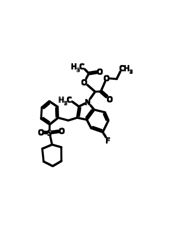 CCOC(=O)C(OC(C)=O)n1c(C)c(Cc2ccccc2S(=O)(=O)C2CCCCC2)c2cc(F)ccc21